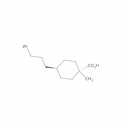 CC(C)CCC[C@H]1CC[C@](C)(C(=O)O)CC1